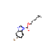 CCCCOC(=O)n1cnc2cc(Br)ccc21